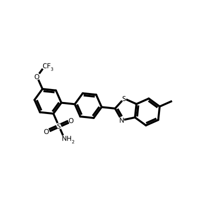 Cc1ccc2nc(-c3ccc(-c4cc(OC(F)(F)F)ccc4S(N)(=O)=O)cc3)sc2c1